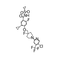 O=C(NS(=O)(=O)C1CC1)c1cc(C2CC2)c(OCC2(F)CCN(c3cc(C(F)(F)F)c(Cl)cn3)CC2)cc1F